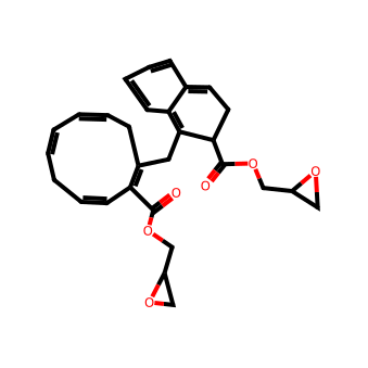 O=C(OCC1CO1)C1=C(\CC2=c3ccccc3=CCC2C(=O)OCC2CO2)C/C=C\C=C/C/C=C\1